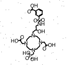 O=C(O)CN1CCN(CC(O)CNS(=O)(=O)c2cccc(C(=O)O)c2)CCN(CC(=O)O)CCN(CP(=O)(O)O)CC1